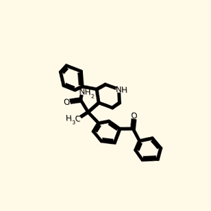 CC(C(N)=O)(c1cccc(C(=O)c2ccccc2)c1)C1CCNCC1c1ccccc1